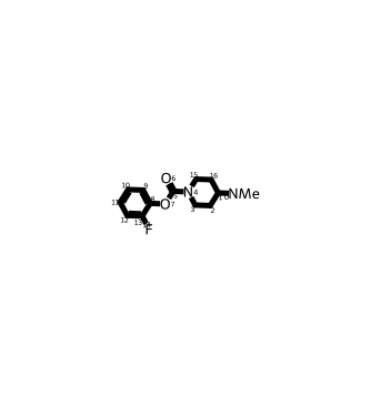 CNC1CCN(C(=O)Oc2ccccc2F)CC1